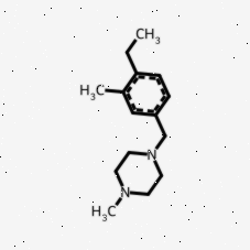 CCc1ccc(CN2CCN(C)CC2)cc1C